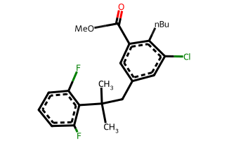 CCCCc1c(Cl)cc(CC(C)(C)c2c(F)cccc2F)cc1C(=O)OC